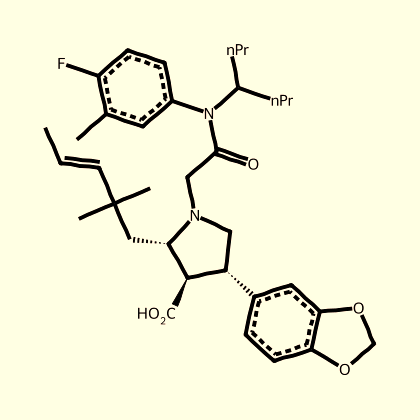 C/C=C/C(C)(C)C[C@H]1[C@H](C(=O)O)[C@@H](c2ccc3c(c2)OCO3)CN1CC(=O)N(c1ccc(F)c(C)c1)C(CCC)CCC